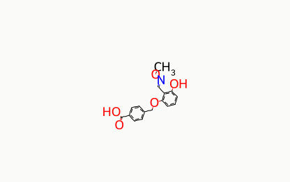 CON=Cc1c(O)cccc1OCc1ccc(C(=O)O)cc1